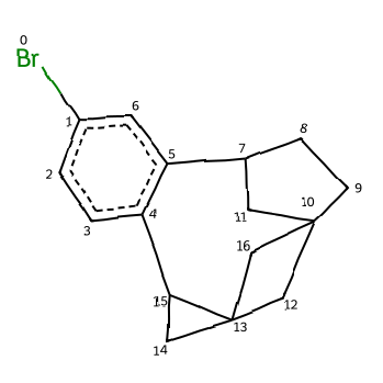 Brc1ccc2c(c1)C1CCC3(C1)CC1(CC21)C3